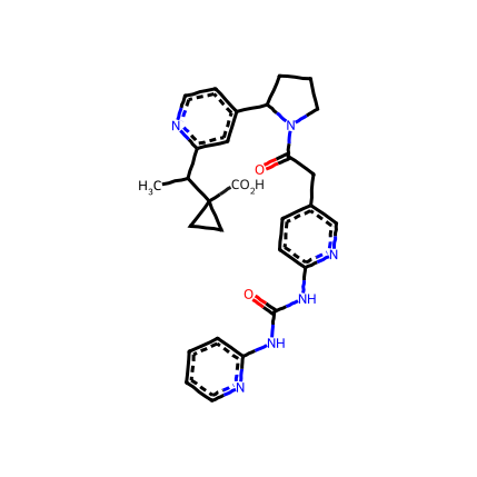 CC(c1cc(C2CCCN2C(=O)Cc2ccc(NC(=O)Nc3ccccn3)nc2)ccn1)C1(C(=O)O)CC1